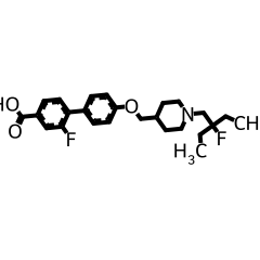 CCC(F)(CC)CN1CCC(COc2ccc(-c3ccc(C(=O)O)cc3F)cc2)CC1